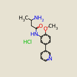 COc1ccc(-c2cccnc2)cc1NC(=O)CC(C)N.Cl